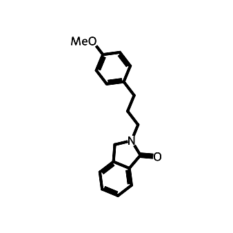 COc1ccc(CCCN2Cc3ccccc3C2=O)cc1